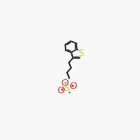 CS(=O)(=O)OCCCCc1csc2ccccc12